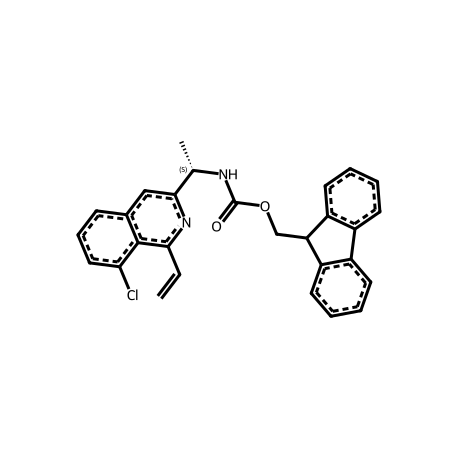 C=Cc1nc([C@H](C)NC(=O)OCC2c3ccccc3-c3ccccc32)cc2cccc(Cl)c12